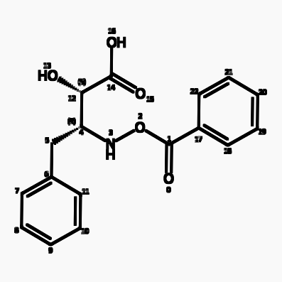 O=C(ON[C@H](Cc1ccccc1)[C@H](O)C(=O)O)c1ccccc1